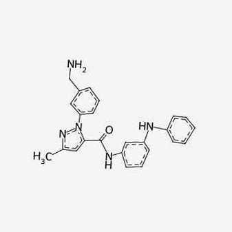 Cc1cc(C(=O)Nc2cccc(Nc3ccccc3)c2)n(-c2cccc(CN)c2)n1